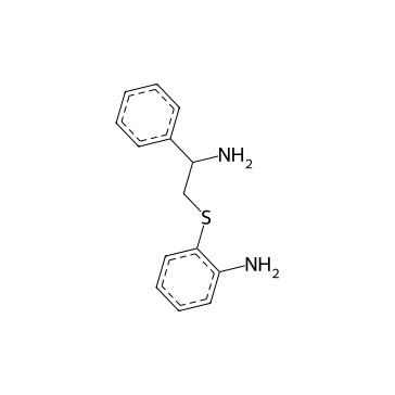 Nc1ccccc1SCC(N)c1ccccc1